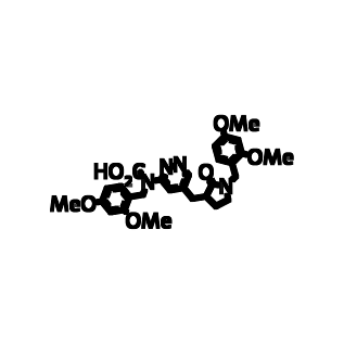 COc1ccc(CN2CCC(Cc3cnnc(N(Cc4ccc(OC)cc4OC)C(=O)O)c3)C2=O)c(OC)c1